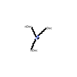 CCCCCCCCCCCCCCCCCCCN1C=CN(CCCCCCCCCCCCCCCCCC)C1CCCCCCCCCCCCCCCCCC